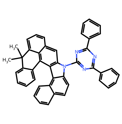 CC1(C)c2ccccc2-c2c3c1cccc3cc1c2c2c3ccccc3ccc2n1-c1nc(-c2ccccc2)nc(-c2ccccc2)n1